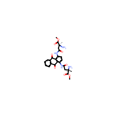 COC(=O)[C@@](C)(N)CC(=O)Nc1ccc(NC(=O)C[C@](C)(N)C(=O)OC)c2c1C(=O)c1ccccc1C2=O